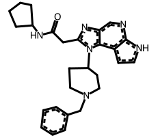 O=C(Cc1nc2cnc3[nH]ccc3c2n1C1CCN(Cc2ccccc2)CC1)NC1CCCC1